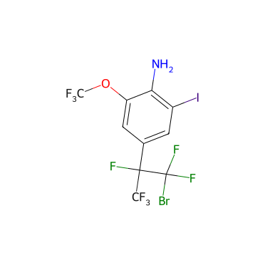 Nc1c(I)cc(C(F)(C(F)(F)F)C(F)(F)Br)cc1OC(F)(F)F